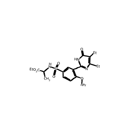 CCCOc1ccc(S(=O)(=O)NC(C)C(=O)OCC)cc1-c1nc(CC)c(CC)c(=O)[nH]1